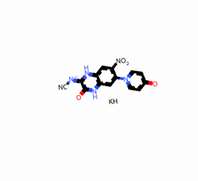 N#C/N=c1/[nH]c2cc([N+](=O)[O-])c(-n3ccc(=O)cc3)cc2[nH]c1=O.[KH]